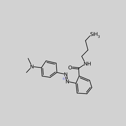 CN(C)c1ccc(/N=N/c2ccccc2C(=O)NCCC[SiH3])cc1